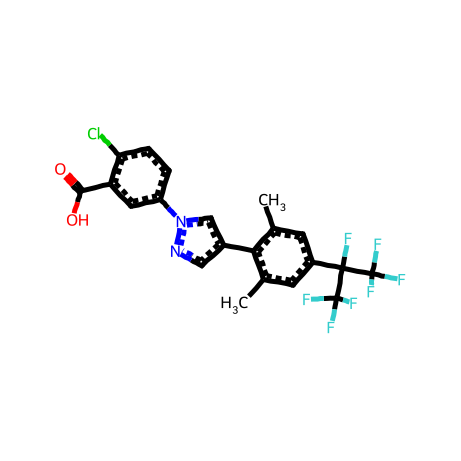 Cc1cc(C(F)(C(F)(F)F)C(F)(F)F)cc(C)c1-c1cnn(-c2ccc(Cl)c(C(=O)O)c2)c1